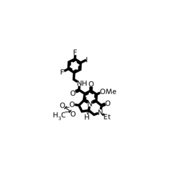 CCN1C[C@H]2CC(OS(C)(=O)=O)c3c(C(=O)NCc4cc(I)c(F)cc4F)c(=O)c(OC)c(n32)C1=O